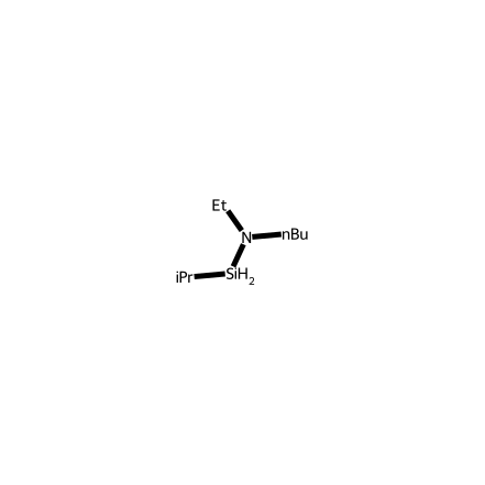 CCCCN(CC)[SiH2]C(C)C